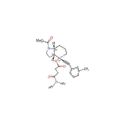 CCCN(CCC)C(=O)CCC(=O)O[C@@]1(C#Cc2cccc(C)c2)CCC[C@@H]2[C@H]1CCN2C(=O)OC